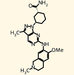 COc1cc2c(cc1Nc1ncc3c(C)nn([C@@H]4CCC[C@@H](C(N)=O)C4)c3n1)CN(C)CC2